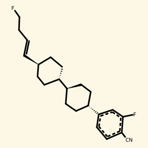 N#Cc1ccc([C@H]2CC[C@H]([C@H]3CC[C@H](C=CCCF)CC3)CC2)cc1F